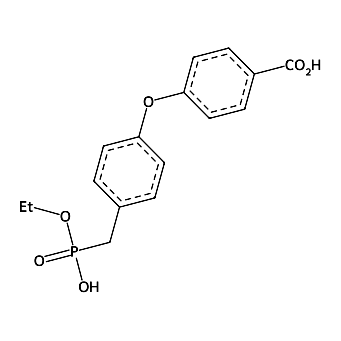 CCOP(=O)(O)Cc1ccc(Oc2ccc(C(=O)O)cc2)cc1